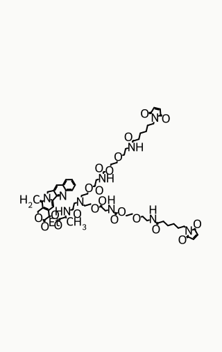 C=C1C2=C(C=C3c4nc5ccccc5cc4CN13)[C@](CC)(OC(=O)C(C)NC(=O)CN(CCOC(=O)CNC(=O)OCCOCCNC(=O)CCCCCN1C(=O)C=CC1=O)CCOC(=O)CNC(=O)OCCOCCNC(=O)CCCCCN1C(=O)C=CC1=O)C(=O)OC2